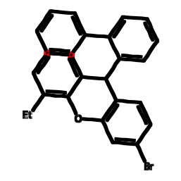 CCc1cccc2c1Oc1cc(Br)ccc1C2c1ccccc1-c1ccccc1